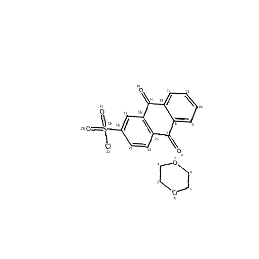 C1COCCO1.O=C1c2ccccc2C(=O)c2cc(S(=O)(=O)Cl)ccc21